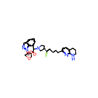 O=C(O)C(c1cccc2cnn([C@@H]3CCOC3)c12)N1CC[C@@H](C(F)CCCCc2ccc3c(n2)NCCC3)C1